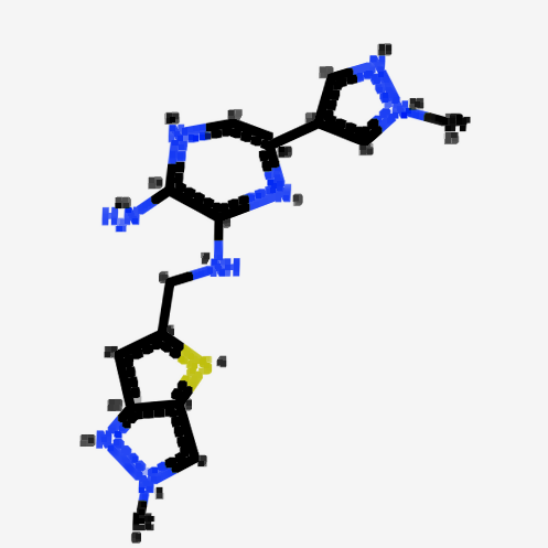 CCn1cc2sc(CNc3nc(-c4cnn(C(C)C)c4)cnc3N)cc2n1